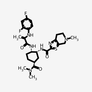 C=C(Nc1ccc(F)cc1F)C(=O)N[C@H]1CC[C@H](C(=O)N(C)C)C[C@H]1NC(=O)c1nc2c(s1)CN(C)CC2